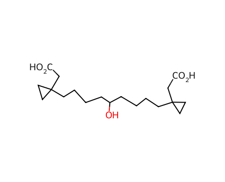 O=C(O)CC1(CCCCC(O)CCCCC2(CC(=O)O)CC2)CC1